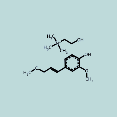 COCC=Cc1ccc(O)c(OC)c1.C[N+](C)(C)CCO